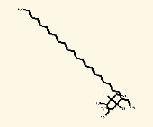 CCCCCCCCCCCCCCCCCCCCCCC(CC)C(O)(CC)C(O)(CC)C(N)CC